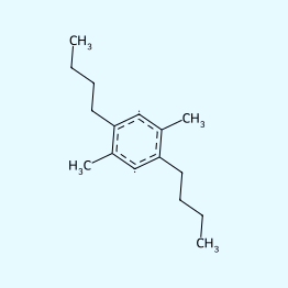 CCCCc1[c]c(C)c(CCCC)[c]c1C